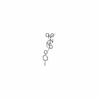 O=[N+]([O-])c1cn2c(n1)OC(COc1ccc(I)cc1)C2